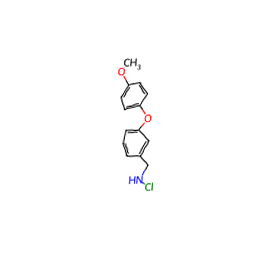 COc1ccc(Oc2cccc(CNCl)c2)cc1